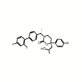 CC(O)C[C@]1(c2ccc(F)cc2)CCN([C@@H](C)c2ccc(-c3ccc(F)cc3F)cc2)C(=O)O1